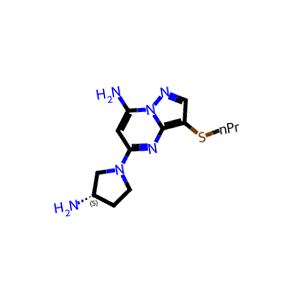 CCCSc1cnn2c(N)cc(N3CC[C@H](N)C3)nc12